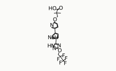 CC(C)(COc1ccc(-c2ccc(-c3nc(OCC(F)(F)C(F)(F)F)n[nH]3)cc2)cn1)C(=O)O.[NaH]